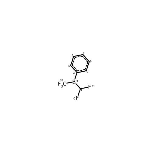 FC(F)B(c1ccccc1)C(F)(F)F